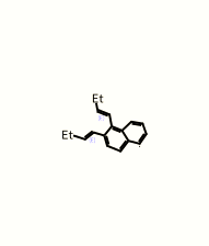 CC/C=C/c1ccc2[c]cccc2c1/C=C/CC